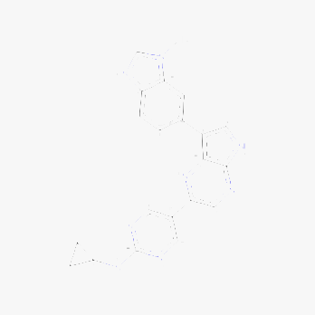 CC(C)(C)n1cnc2ccc(-c3c[nH]c4ncc(-c5cnc(NC6CC6)nc5)nc34)cc21